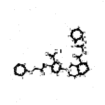 O=C(CSc1ccccc1)Nc1ccc(N2CCc3cccc(C(=O)Nc4nc5ccccc5s4)c3C2)nc1C(=O)O